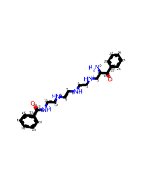 NC(CNCCNCCNCCNC(=O)c1ccccc1)C(=O)c1ccccc1